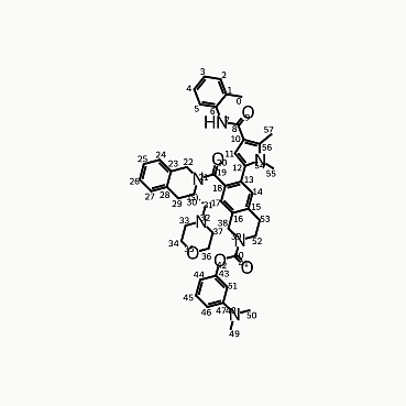 Cc1ccccc1NC(=O)c1cc(-c2cc3c(cc2C(=O)N2Cc4ccccc4C[C@H]2CN2CCOCC2)CN(C(=O)Oc2cccc(N(C)C)c2)CC3)n(C)c1C